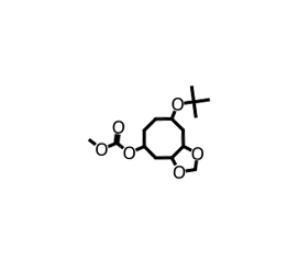 COC(=O)OC1CCC(OC(C)(C)C)CC2OCOC2C1